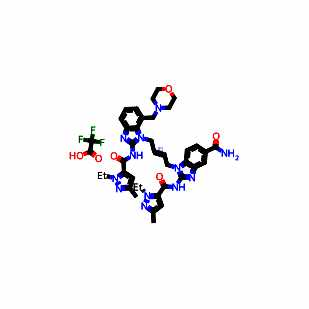 CCn1nc(C)cc1C(=O)Nc1nc2cc(C(N)=O)ccc2n1C/C=C/Cn1c(NC(=O)c2cc(C)nn2CC)nc2cccc(CN3CCOCC3)c21.O=C(O)C(F)(F)F